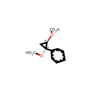 O=C(O)O[C@@H]1C[C@]1(OC(=O)O)c1ccccc1